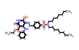 CCCCCCCCN(CCCCCCCC)S(=O)(=O)c1ccc(/N=N/c2c(O)[nH]c(=O)c(C(=O)OCC)c2Nc2ccccc2)cc1